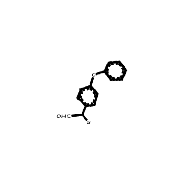 O=CC(Br)c1ccc(Oc2ccccc2)cc1